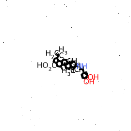 C=C(C)C1CCC2(C(=O)O)CCC3(C)C(CCC4C5(C)CCC(NCCc6ccc(O)c(O)c6)C(C)(C)C5CCC43C)C12